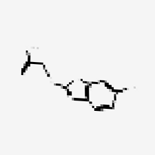 CNC(=O)CNc1nc2ccc(OC)cc2o1